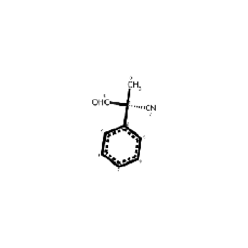 C[C@](C#N)(C=O)c1ccccc1